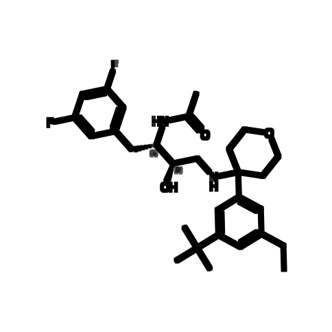 CCc1cc(C(C)(C)C)cc(C2(NC[C@@H](O)[C@H](Cc3cc(F)cc(F)c3)NC(C)=O)CCOCC2)c1